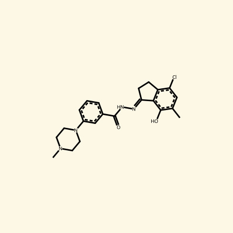 Cc1cc(Cl)c2c(c1O)/C(=N/NC(=O)c1cccc(N3CCN(C)CC3)c1)CC2